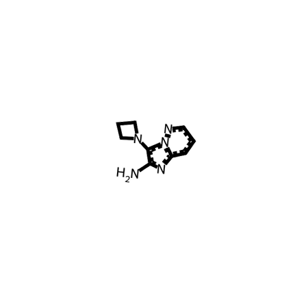 Nc1nc2cccnn2c1N1CCC1